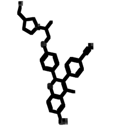 CC1=C(c2ccc(C#N)cc2)C(c2ccc(OCC(C)N3CCC(CF)C3)cc2)Oc2ccc(O)cc21